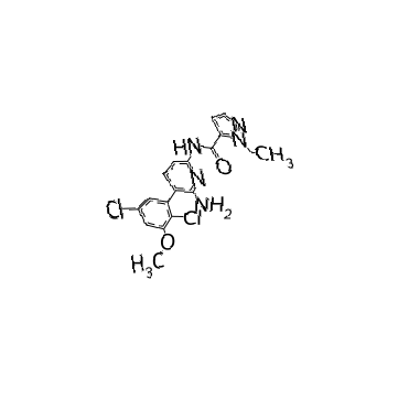 CCn1nccc1C(=O)Nc1ccc(-c2cc(Cl)cc(OC)c2Cl)c(N)n1